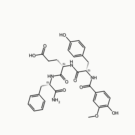 COc1cc(C(=O)N[C@@H](Cc2ccc(O)cc2)C(=O)N[C@@H](CCC(=O)O)C(=O)N[C@@H](Cc2ccccc2)C(N)=O)ccc1O